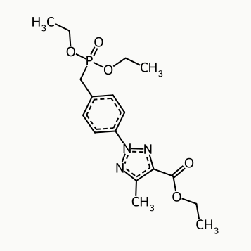 CCOC(=O)c1nn(-c2ccc(CP(=O)(OCC)OCC)cc2)nc1C